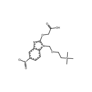 C[Si](C)(C)CCOCn1c(OCC(=O)O)nc2cc([N+](=O)[O-])ccc21